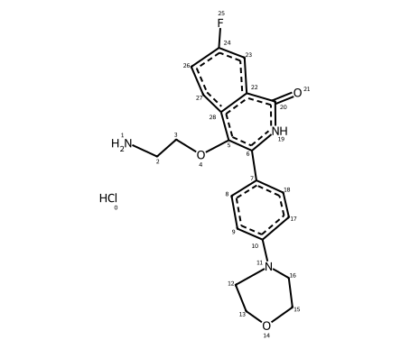 Cl.NCCOc1c(-c2ccc(N3CCOCC3)cc2)[nH]c(=O)c2cc(F)ccc12